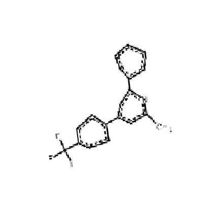 Cc1cc(-c2ccc(C(F)(F)F)cc2)cc(-c2c[c]ccc2)n1